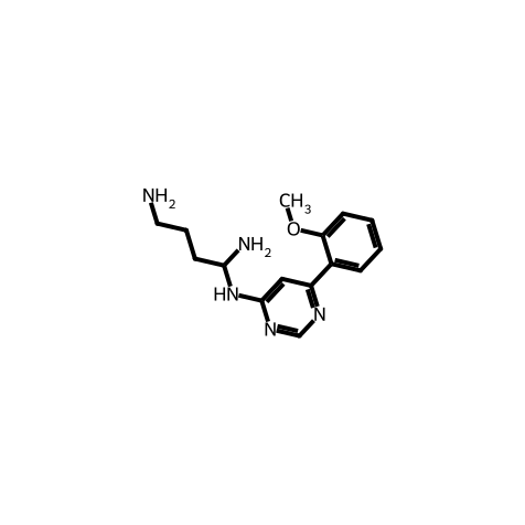 COc1ccccc1-c1cc(NC(N)CCCN)ncn1